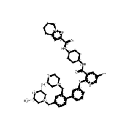 C[C@@H]1CN(Cc2ccc(-c3cccc(Oc4ncc(F)cc4C(=O)NC4CCC(NC(=O)c5cc6n(n5)CCCC6)CC4)c3)c(CN3CCSCC3)c2)C[C@H](C)N1